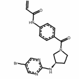 C=CC(=O)Nc1ccc(C(=O)N2CC[C@@H](Nc3ncc(Br)cn3)C2)cc1